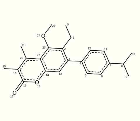 CCc1c(-c2ccc(C(C)C)cc2)cc2oc(=O)c(C)c(C)c2c1OC